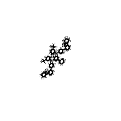 CC(C)(C)c1ccc2c(c1)N(c1ccc(-c3cccc4c3oc3ccccc34)cc1)c1cc(C3CCCCC3)cc3c1B2c1ccc(C(C)(C)C)cc1N3c1ccc(-c2cccc3c2oc2ccccc23)cc1